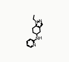 CCn1ncc2c1CCC(Nc1ccccn1)C2